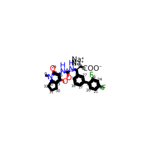 Cn1c2c(c([O-])c(NC(=O)N[C@@H](CC(=O)[O-])c3cccc(-c4ccc(F)cc4F)c3)c1=O)CCC2.[Na+].[Na+]